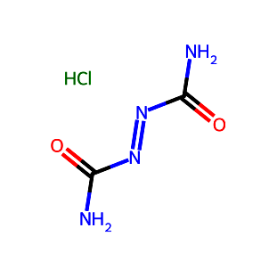 Cl.NC(=O)N=NC(N)=O